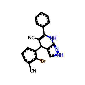 N#CC1=C(c2ccccc2)Nc2n[nH]cc2C1c1cccc(C#N)c1Br